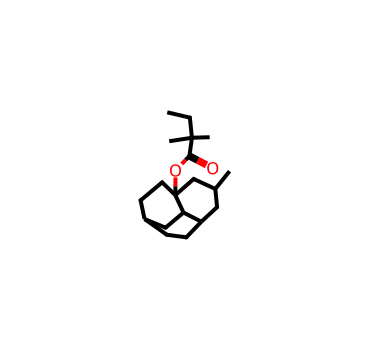 CCC(C)(C)C(=O)OC12CCC3CCC(CC(C)C1)C2C3